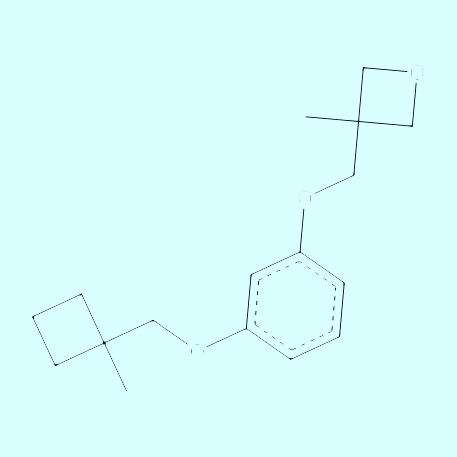 CC1(COc2cccc(OCC3(C)COC3)c2)CCC1